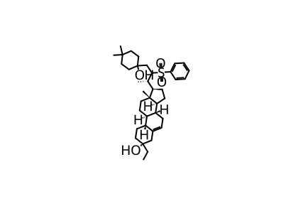 CC[C@]1(O)CC[C@H]2C(=CC[C@@H]3[C@@H]2CC[C@]2(C)[C@@H]([C@H](C)C(CC4(O)CCC(C)(C)CC4)S(=O)(=O)c4ccccc4)CC[C@@H]32)C1